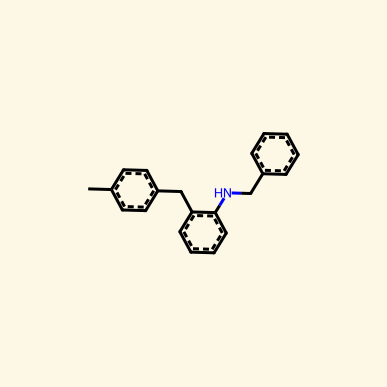 Cc1ccc(Cc2ccccc2NCc2ccccc2)cc1